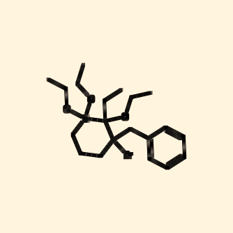 CCOC1(CC)C(Br)(Cc2ccccc2)CCC[Si]1(OCC)OCC